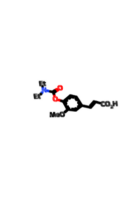 CCN(CC)C(=O)Oc1ccc(/C=C/C(=O)O)cc1OC